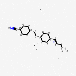 CC/C=C/[C@H]1CC[C@H](CC[C@H]2CC[C@H](C#N)CC2)CC1